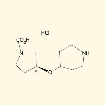 Cl.O=C(O)N1CC[C@H](OC2CCNCC2)C1